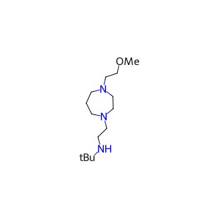 COCCN1CCCN(CCNC(C)(C)C)CC1